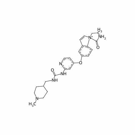 CC[N+]1(C(N)=O)C=Cc2cc(Oc3ccnc(NC(=O)NCC4CCN(C)CC4)c3)ccc21